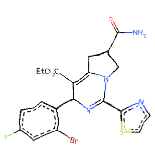 CCOC(=O)C1=C2CC(C(N)=O)CN2C(c2nccs2)=NC1c1ccc(F)cc1Br